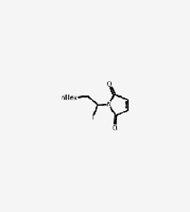 CCCCCCCC(I)N1C(=O)C=CC1=O